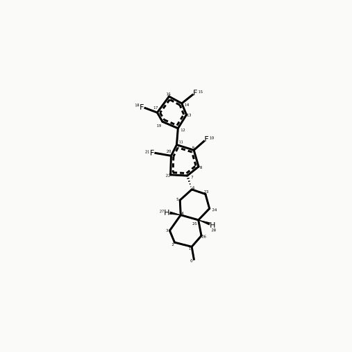 CC1CC[C@@H]2C[C@H](c3cc(F)c(-c4cc(F)cc(F)c4)c(F)c3)CC[C@@H]2C1